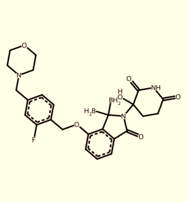 BC1(B)c2c(OCc3ccc(CN4CCOCC4)cc3F)cccc2C(=O)N1C1(O)CCC(=O)NC1=O